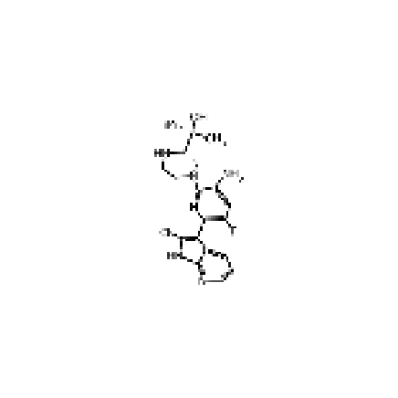 CC(C)[C@@](C)(O)[C@@H]1CN(c2nc(-c3c(Cl)[nH]c4ncccc34)c(F)cc2N)CCN1